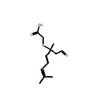 CC(C)=CCCC(C)(CC=O)SCC(=O)O